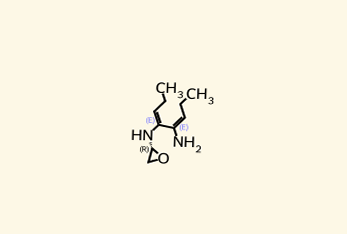 CC/C=C(N)\C(=C/CC)N[C@H]1CO1